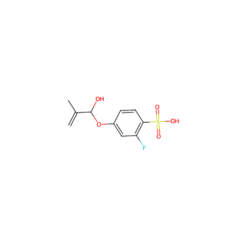 C=C(C)C(O)Oc1ccc(S(=O)(=O)O)c(F)c1